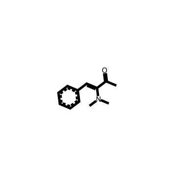 CC(=O)C(=Cc1ccccc1)N(C)C